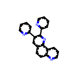 c1ccc(-c2cc3ccc4ncccc4c3nc2-c2ccccn2)nc1